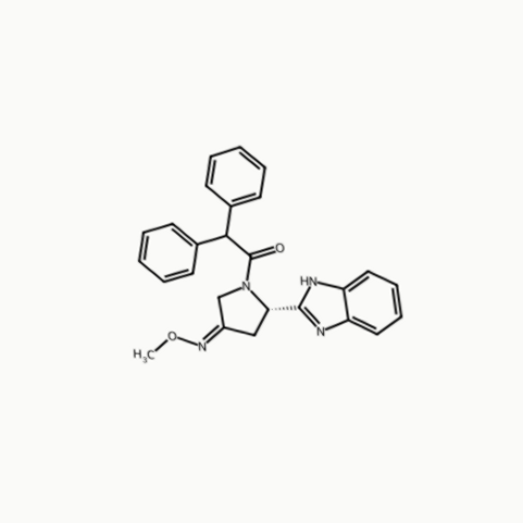 CON=C1C[C@@H](c2nc3ccccc3[nH]2)N(C(=O)C(c2ccccc2)c2ccccc2)C1